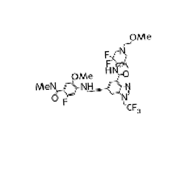 CNC(=O)c1cc(OC)c(NCC#Cc2cc(C(=O)N[C@H]3[C@H](C)CN(CCOC)CC3(F)F)c3ncn(CC(F)(F)F)c3c2)cc1F